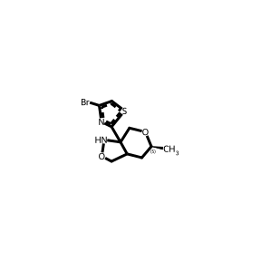 C[C@H]1CC2CONC2(c2nc(Br)cs2)CO1